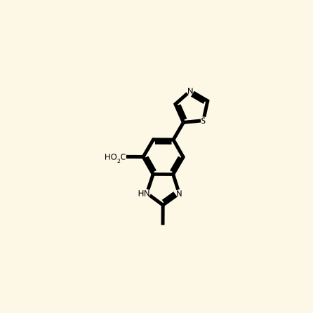 Cc1nc2cc(-c3cncs3)cc(C(=O)O)c2[nH]1